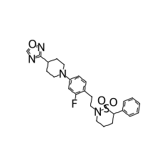 O=S1(=O)C(c2ccccc2)CCCN1CCc1ccc(N2CCC(c3ncon3)CC2)cc1F